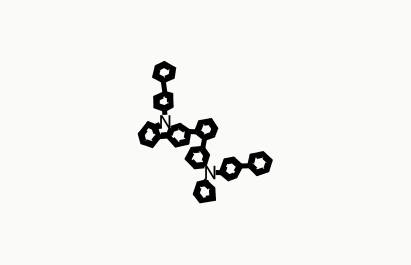 c1ccc(-c2ccc(N(c3ccccc3)c3cccc(-c4ccccc4-c4ccc5c6ccccc6n(-c6ccc(-c7ccccc7)cc6)c5c4)c3)cc2)cc1